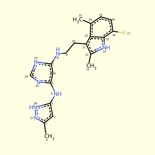 Cc1cc(Nc2cc(NCCc3c(C)[nH]c4c(F)ccc(C)c34)ncn2)[nH]n1